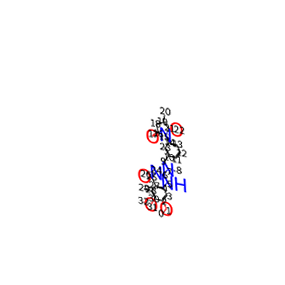 COc1cc2[nH]c(N(C)Cc3cccc(N4C(=O)CC(C)C4=O)c3)nc(=O)c2c(C)c1OC